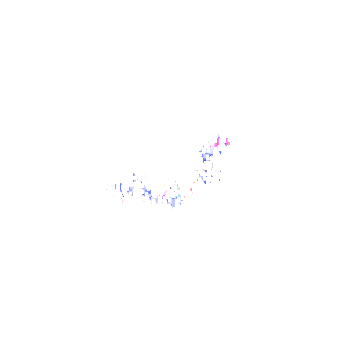 CCOC1=CN/C(=C(/C#N)C=N)C(c2ccc(N3CCC(CN4CCN(CCOCCC(=O)Nc5ccc6c(N7CCC(=O)NC7=O)nn(C)c6c5)CC4)(NC(=O)c4cc(F)ccc4F)CC3)nc2)=C1